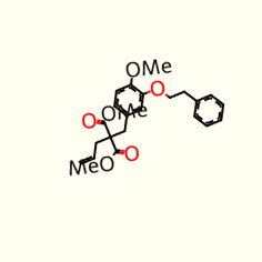 C=CCC(Cc1ccc(OC)c(OCCc2ccccc2)c1)(C(=O)OC)C(=O)OC